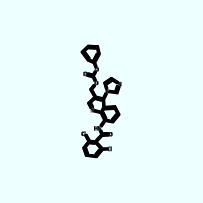 O=C(OCc1cnc2c(NC(=O)c3c(Cl)cccc3Cl)cccc2c1-n1ccnc1)Oc1ccccc1